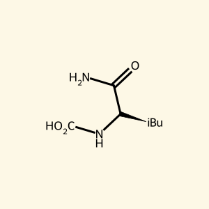 CC[C@H](C)C(NC(=O)O)C(N)=O